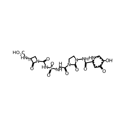 O=C(O)N[C@H]1CN(C(=O)NS(=O)(=O)NNC(=O)N2CCN(NC(=O)c3cc(=O)c(O)c[nH]3)C2=O)C1=O